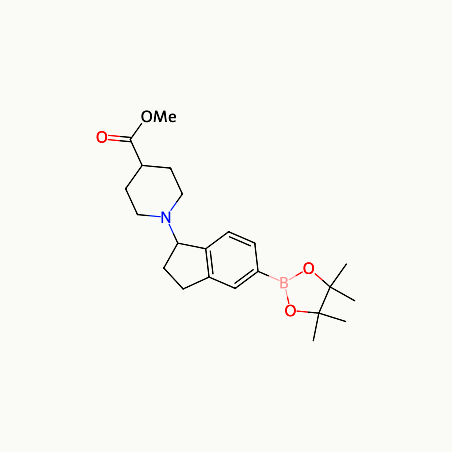 COC(=O)C1CCN(C2CCc3cc(B4OC(C)(C)C(C)(C)O4)ccc32)CC1